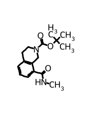 CNC(=O)c1cccc2c1CN(C(=O)OC(C)(C)C)CC2